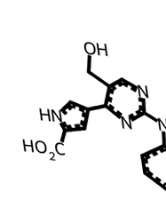 O=C(O)c1cc(-c2nc(Nc3ccccc3)ncc2CO)c[nH]1